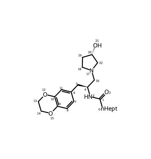 CCCCCCCC(=O)N[C@@H](Cc1ccc2c(c1)OCCO2)CN1CC[C@H](O)C1